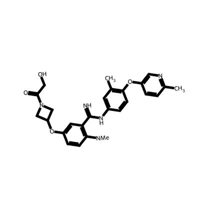 CNc1ccc(OC2CN(C(=O)CO)C2)cc1C(=N)Nc1ccc(Oc2ccc(C)nc2)c(C)c1